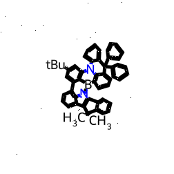 CC(C)(C)c1cc2c3c(c1)N1c4ccccc4C(c4ccccc4)(c4ccccc4)c4cccc(c41)B3n1c3c(c4cccc-2c41)C(C)(C)c1ccccc1-3